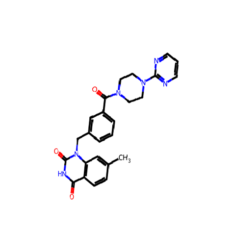 Cc1ccc2c(=O)[nH]c(=O)n(Cc3cccc(C(=O)N4CCN(c5ncccn5)CC4)c3)c2c1